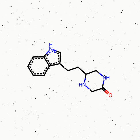 O=C1CNC(CCc2c[nH]c3ccccc23)CN1